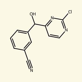 N#Cc1cccc(C(O)c2ccnc(Cl)n2)c1